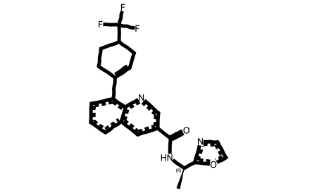 C[C@@H](NC(=O)c1cnc2c(C3=CCC(C(F)(F)F)CC3)cccc2c1)c1ncco1